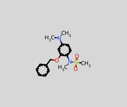 CN(C)c1ccc(N(C)S(C)(=O)=O)c(OCc2ccccc2)c1